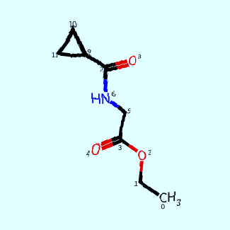 CCOC(=O)CNC(=O)C1CC1